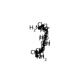 C[C@H](COCCOCCNC(=O)NCCCCNC(=O)NCCOCCOC[C@@H](C)N[S+]([O-])c1ccc(O[C@H]2c3cc(Cl)cc(Cl)c3C[C@@H]2N2CCC[C@@H](N)C2)cc1)N[S+]([O-])c1ccc(O[C@H]2c3cc(Cl)cc(Cl)c3C[C@@H]2N2CCC[C@@H](N)C2)cc1